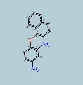 Nc1ccc(Oc2cccc3ccccc23)c(N)c1